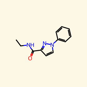 CCNC(=O)c1ccn(-c2ccccc2)n1